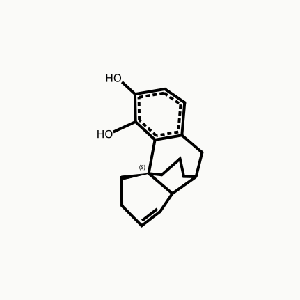 Oc1ccc2c(c1O)[C@@]13CCC=CC1C(CCC3)C2